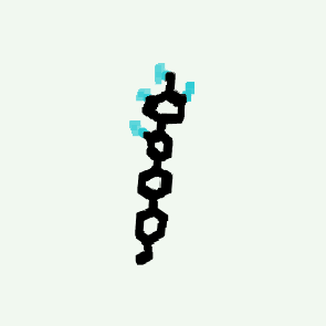 C=CC1CCC(c2ccc(-c3ccc(-c4cc(F)c(CF)c(F)c4)c(F)c3)cc2)CC1